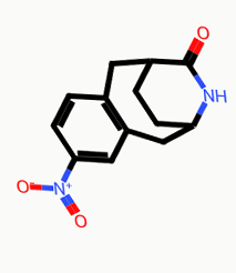 O=C1NC2CCC1Cc1ccc([N+](=O)[O-])cc1C2